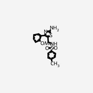 COc1ccccc1-c1nc(N)sc1CNS(=O)(=O)c1ccc(C)cc1